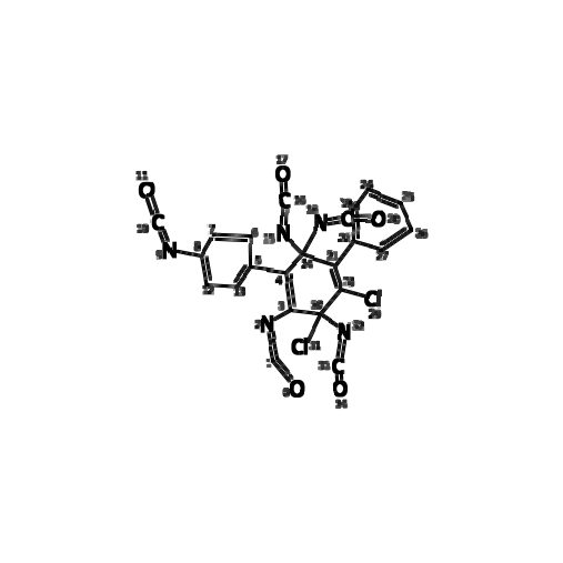 O=C=NC1=C(c2ccc(N=C=O)cc2)C(N=C=O)(N=C=O)C(c2ccccc2)=C(Cl)C1(Cl)N=C=O